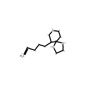 C=CCCCC1COCCC12OCCO2